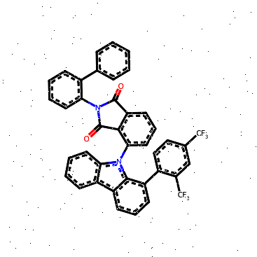 O=C1c2cccc(-n3c4ccccc4c4cccc(-c5ccc(C(F)(F)F)cc5C(F)(F)F)c43)c2C(=O)N1c1ccccc1-c1ccccc1